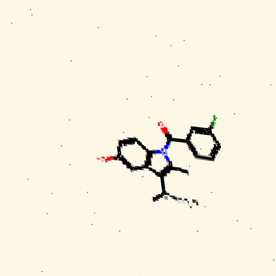 CCOC(=O)[C@@H](C)c1c(C)n(C(=O)c2cccc(F)c2)c2ccc(O)cc12